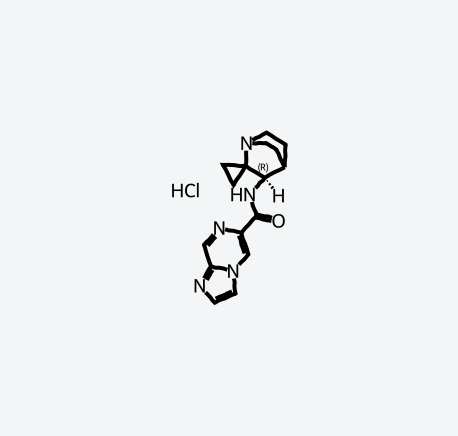 Cl.O=C(N[C@@H]1C2CCN(CC2)C12CC2)c1cn2ccnc2cn1